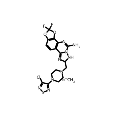 C[C@@H]1CN(c2nsnc2Cl)CCN1CC1N=C2c3ccc4c(c3N=C(N)N2N1)OC(F)(F)O4